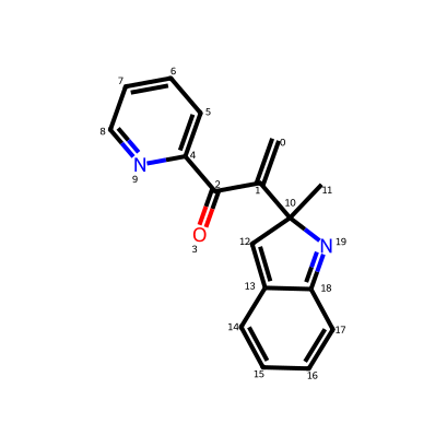 C=C(C(=O)c1ccccn1)C1(C)C=c2ccccc2=N1